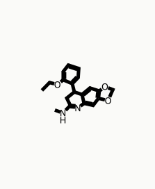 CCOc1ccccc1C1CC(NC)=Nc2cc3c(cc21)OCO3